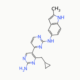 Cc1cc2cc(Nc3nccc(-c4cnc(N)nc4CC4CC4)n3)ccc2[nH]1